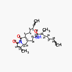 C#CCCCCCC(=O)N1C(=O)C=C(C)[C@@H]1CCCCNC(=O)[C@H](C)CCCCC#C